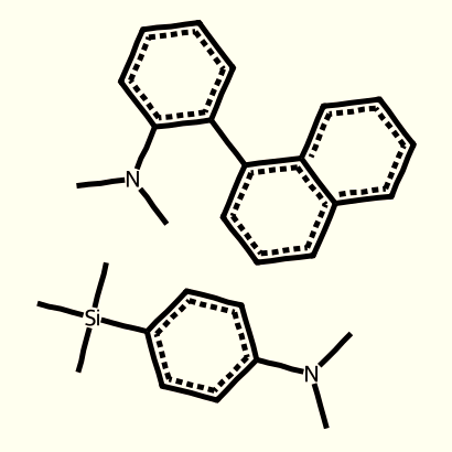 CN(C)c1ccc([Si](C)(C)C)cc1.CN(C)c1ccccc1-c1cccc2ccccc12